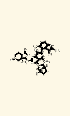 CCN1CC[C@H](C(F)F)[C@](C)(COc2nc(N3C[C@H]4CC[C@@H](C3)N4)c3c(OC)nc(-c4c(C(F)(F)F)ccc5sc(N)c(C#N)c45)c(F)c3n2)C1